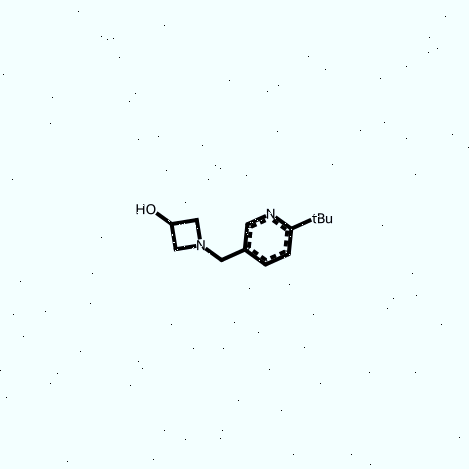 CC(C)(C)c1ccc(CN2CC(O)C2)cn1